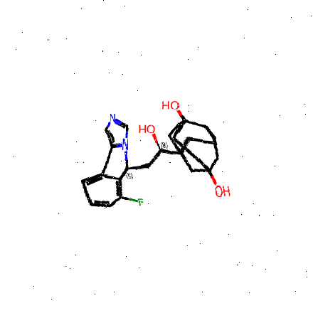 O[C@H](C[C@H]1c2c(F)cccc2-c2cncn21)C12CC3CC(O)(CC(O)(C3)C1)C2